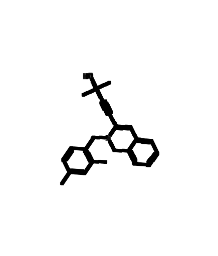 Cc1ccc(CN2Cc3ccccc3C=C2C#CC(C)(C)O)c(C)c1